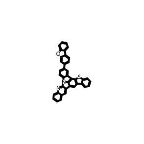 c1ccc2nc3c(cc2c1)c1cc2c4ccccc4sc2c2c4cc(-c5ccc6c(c5)oc5ccccc56)ccc4n3c12